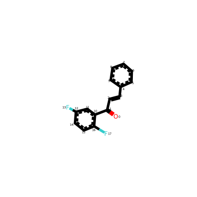 O=C(C=Cc1ccccc1)c1cc(F)ccc1F